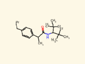 CCC(C)(C)C(NC(=O)C(C)c1ccc(CC(C)C)cc1)C(C)(C)CC